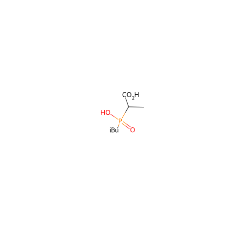 CCC(C)P(=O)(O)C(C)C(=O)O